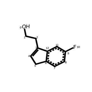 OCCC1=CCc2ccc(F)cc21